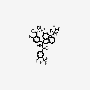 NNC(=O)c1cc(C(Cc2ccccc2)(NC(=O)c2ccc(F)c(C(F)(F)F)c2)c2cc(F)cc(OC(F)(F)C(F)F)c2)ccc1F